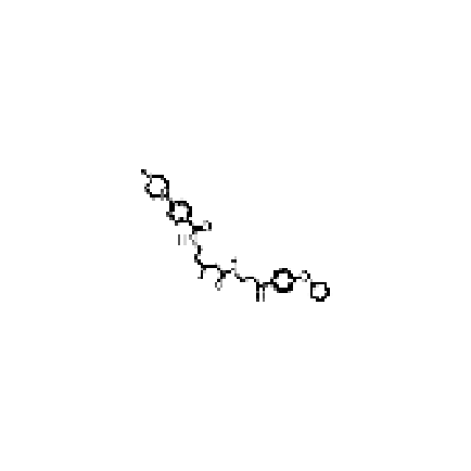 CC(CCNC(=O)c1ccc(N2CCN(C)CC2)cc1)CC(=O)NCCNc1ccc(OC2CCCC2)cc1